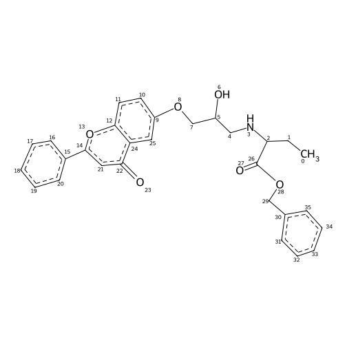 CCC(NCC(O)COc1ccc2oc(-c3ccccc3)cc(=O)c2c1)C(=O)OCc1ccccc1